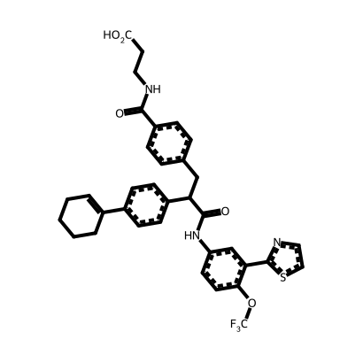 O=C(O)CCNC(=O)c1ccc(CC(C(=O)Nc2ccc(OC(F)(F)F)c(-c3nccs3)c2)c2ccc(C3=CCCCC3)cc2)cc1